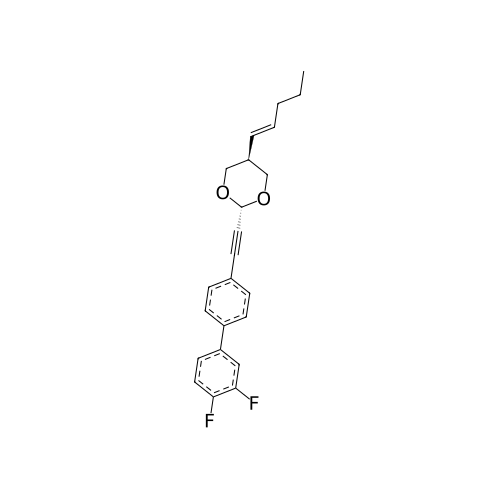 CCCC=C[C@H]1CO[C@H](C#Cc2ccc(-c3ccc(F)c(F)c3)cc2)OC1